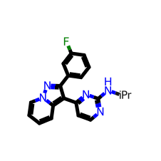 CC(C)Nc1nccc(-c2c(-c3cccc(F)c3)nn3ccccc23)n1